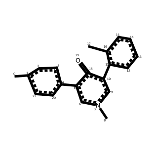 Cc1ccc(-c2cn(C)cc(-c3ccccc3C)c2=O)cc1